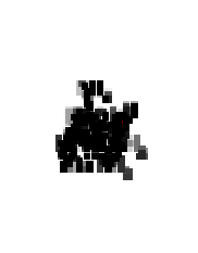 CCCCc1ccc(-c2ccc(OC(=O)N[C@@H](CCCCN)C(=O)N[C@H](C(=O)N[C@@H](N)C(=O)N[C@@H](CC(N)=O)C(=O)N[C@@H](N)B3OC4C[C@@H]5C[C@@H](C5(C)C)[C@]4(C)O3)C(C)O)cc2)cc1